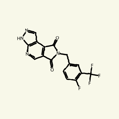 O=C1c2cnc3[nH]ncc3c2C(=O)N1Cc1ccc(F)c(C(F)(F)F)c1